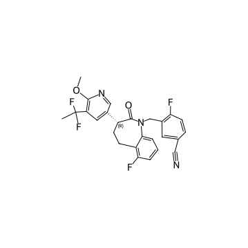 COc1ncc([C@H]2CCc3c(F)cccc3N(Cc3cc(C#N)ccc3F)C2=O)cc1C(C)(F)F